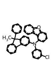 CC1(c2ccccc2)c2ccccc2-c2cc(N(c3cccc(Cl)c3)c3cccc4oc5ccccc5c34)ccc21